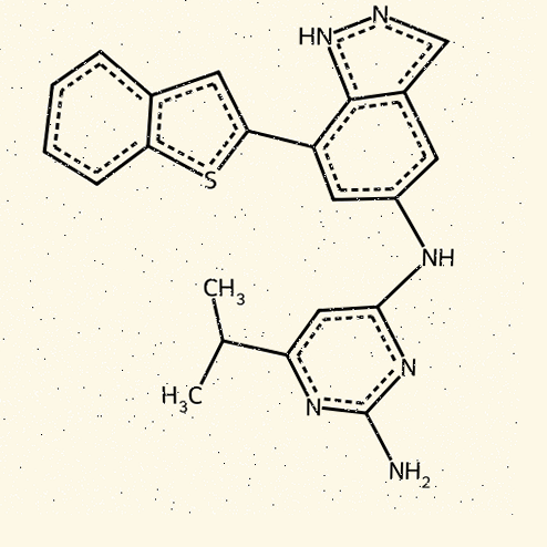 CC(C)c1cc(Nc2cc(-c3cc4ccccc4s3)c3[nH]ncc3c2)nc(N)n1